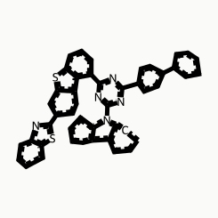 c1ccc(-c2ccc(-c3nc(-c4cccc5sc6cc(-c7nc8ccccc8s7)ccc6c45)nc(-n4c5ccccc5c5ccccc54)n3)cc2)cc1